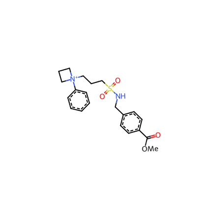 COC(=O)c1ccc(CNS(=O)(=O)CCC[N+]2(c3ccccc3)CCC2)cc1